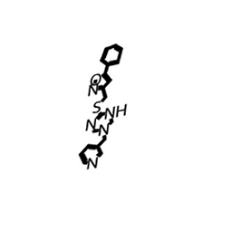 c1ccc(-c2cc(CSC3=NCN(Cc4cccnc4)CN3)no2)cc1